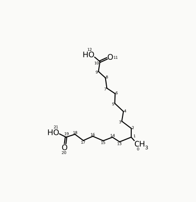 CC(CCCCCCCCC(=O)O)CCCCCCC(=O)O